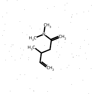 C=CC(C)CC(=C)N(C)C